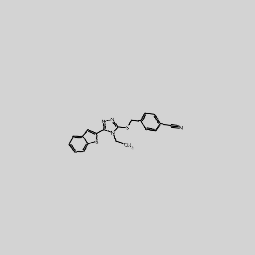 CCn1c(SCc2ccc(C#N)cc2)nnc1-c1cc2ccccc2s1